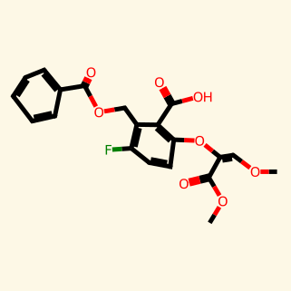 COC=C(Oc1ccc(F)c(COC(=O)c2ccccc2)c1C(=O)O)C(=O)OC